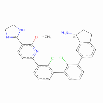 COc1nc(-c2cccc(-c3cccc(-c4ccc5c(c4)[C@H](N)CC5)c3Cl)c2Cl)ccc1C1=NCCN1